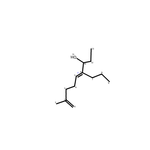 C=C(C)CC/C=C(\CCC)C(O)CC